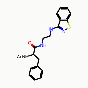 CC(=O)NC(Cc1ccccc1)C(=O)NCCNc1nsc2ccccc12